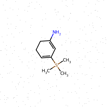 CS(C)(C)C1=CCCC(N)=C1